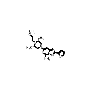 COCCN1[C@H](C)CN(c2cc3nc(-c4ccco4)nn3c(N)n2)C[C@@H]1C